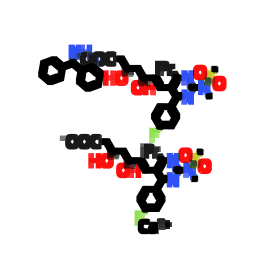 CC(C)c1nc(N(C)S(C)(=O)=O)nc(-c2ccc(F)cc2)c1C=C[C@@H](O)C[C@@H](O)CC(=O)[O-].CC(C)c1nc(N(C)S(C)(=O)=O)nc(-c2ccc(F)cc2)c1C=C[C@@H](O)C[C@@H](O)CC(=O)[O-].NC(c1ccccc1)c1ccccc1.[Ca+2]